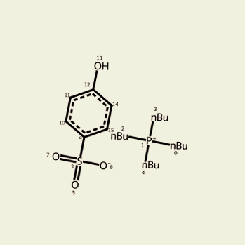 CCCC[P+](CCCC)(CCCC)CCCC.O=S(=O)([O-])c1ccc(O)cc1